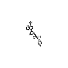 C[C@@H]1C[C@@H](c2ccc(C3C=N3)c3ncccc23)CN(CC(=O)NCCN2CCN(C)CC2)C1